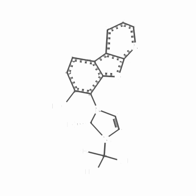 [2H]C(C)(C)N1C=CN(c2c(C)ccc3c2oc2ncccc23)[C@H]1C